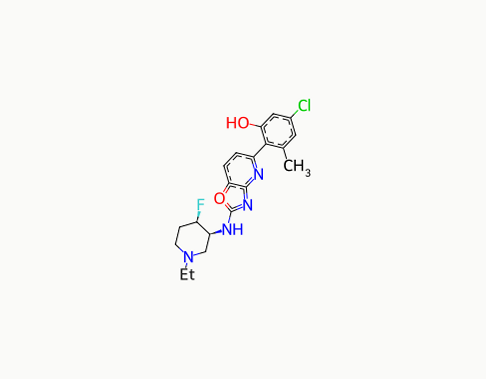 CCN1CC[C@@H](F)[C@@H](Nc2nc3nc(-c4c(C)cc(Cl)cc4O)ccc3o2)C1